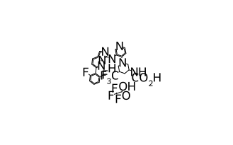 O=C(O)C(F)(F)F.O=C(O)NC1CC(C(F)(F)F)CN(c2ccncc2Nc2ncc3ccc(-c4c(F)cccc4F)nn23)C1